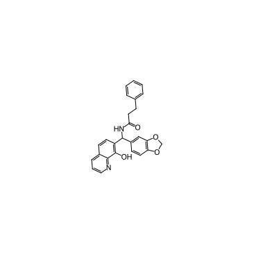 O=C(CCc1ccccc1)NC(c1ccc2c(c1)OCO2)c1ccc2cccnc2c1O